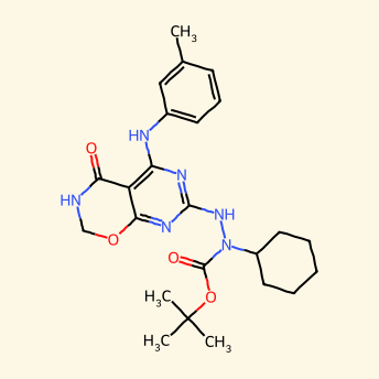 Cc1cccc(Nc2nc(NN(C(=O)OC(C)(C)C)C3CCCCC3)nc3c2C(=O)NCO3)c1